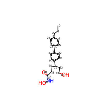 CCCc1ccc(-c2ccc(C(CCO)CCC(=O)NO)cc2)cc1